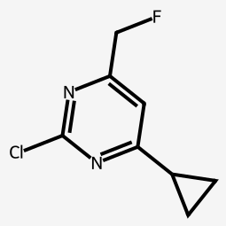 FCc1cc(C2CC2)nc(Cl)n1